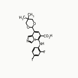 CC1(C)COC(c2cc(C(=O)O)c(Nc3ccc(I)cc3F)n3cncc23)OC1